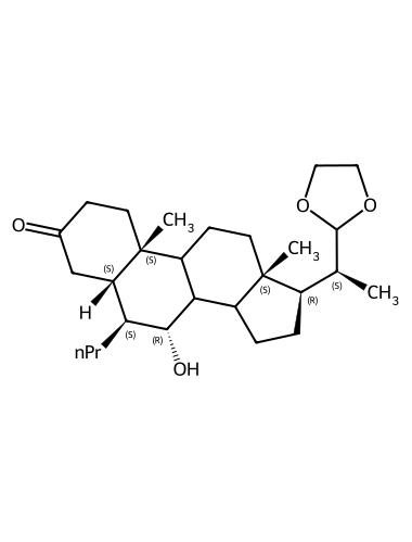 CCC[C@@H]1[C@@H](O)C2C3CC[C@H]([C@H](C)C4OCCO4)[C@@]3(C)CCC2[C@@]2(C)CCC(=O)C[C@@H]12